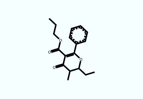 CCCOC(=O)C1=C(c2ccccc2)OC(CC)C(C)C1=O